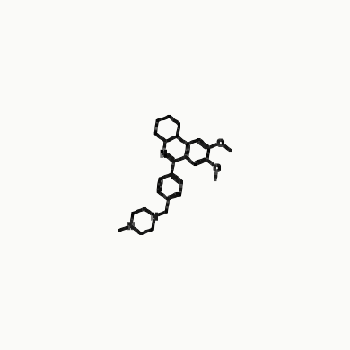 COc1cc2c(cc1OC)C1CCCCC1N=C2c1ccc(CN2CCN(C)CC2)cc1